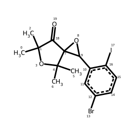 CC1(C)OC(C)(C)C2(OC2c2cc(Br)ccc2I)C1=O